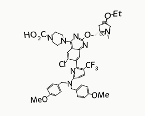 CCO[C@@H]1C[C@@H](COc2nc(N3CCN(C(=O)O)CC3)c3cc(Cl)c(-c4nc(N(Cc5ccc(OC)cc5)Cc5ccc(OC)cc5)ccc4C(F)(F)F)cc3n2)N(C)C1